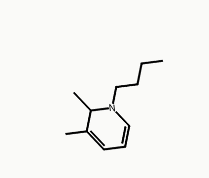 CCCCN1C=CC=C(C)C1C